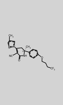 Cc1cnn(C2=C(C#N)C(=O)N[C@](C)(c3ccc(OCCCC(F)(F)F)cc3)C2)c1